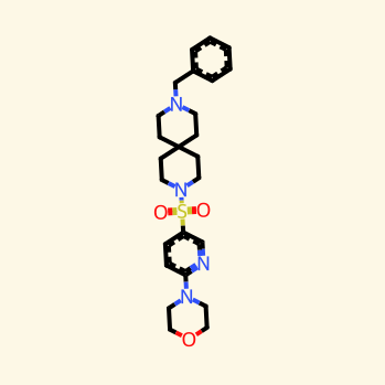 O=S(=O)(c1ccc(N2CCOCC2)nc1)N1CCC2(CCN(Cc3ccccc3)CC2)CC1